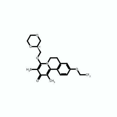 Bc1c(OC[C@@H]2COCCO2)n2c(c(C)c1=O)-c1ccc(OCC(F)(F)F)cc1CC2